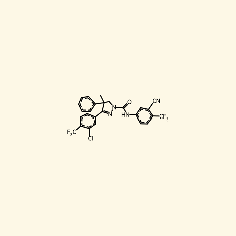 CC1(c2ccccc2)CN(C(=O)Nc2ccc(C(F)(F)F)c(C#N)c2)N=C1c1ccc(C(F)(F)F)c(Cl)c1